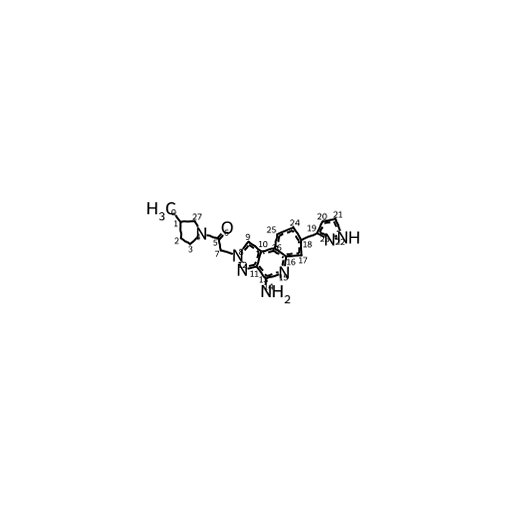 CC1CCN(C(=O)Cn2cc3c(n2)c(N)nc2cc(-c4cc[nH]n4)ccc23)C1